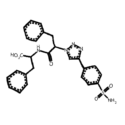 NS(=O)(=O)c1ccc(-c2cn(C(Cc3ccccc3)C(=O)NC(Cc3ccccc3)C(=O)O)nn2)cc1